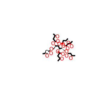 CC(=O)CC(=O)OC[C@@H](OC(=O)CC(C)=O)[C@@H](OC(=O)CC(C)=O)[C@H](OC(=O)CC(C)=O)[C@@H](COC(=O)CC(C)=O)OC(=O)CC(C)=O